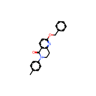 Cc1ccc(N2CCc3nc(OCc4ccccc4)ccc3C2=O)cc1